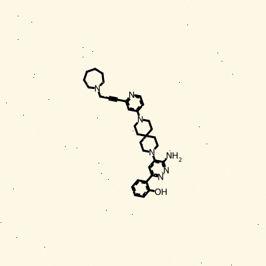 Nc1nnc(-c2ccccc2O)cc1N1CCC2(CCN(c3ccnc(C#CCN4CCCCCC4)c3)CC2)CC1